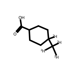 [2H]C([2H])([2H])C1([2H])CCC(C(=O)O)CC1